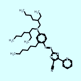 CCCCCCc1cc(N(CC(CC)CCCC)CC(CC)CCCC)ccc1N=Nc1nc(-c2ccccn2)c(C#N)s1